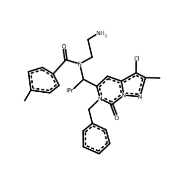 Cc1ccc(C(=O)N(CCN)C(c2cc3c(Cl)c(C)nn3c(=O)n2Cc2ccccc2)C(C)C)cc1